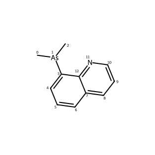 C[As](C)c1cccc2cccnc12